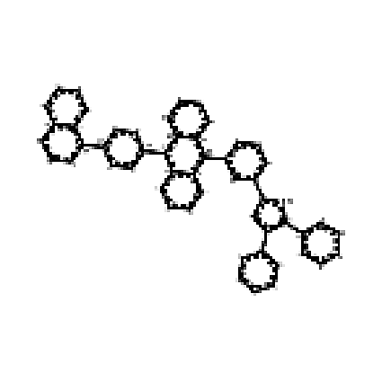 c1ccc(-c2cc(-c3cccc(-c4c5ccccc5c(-c5ccc(-c6cccc7ccccc67)cc5)c5ccccc45)c3)sc2-c2ccccc2)cc1